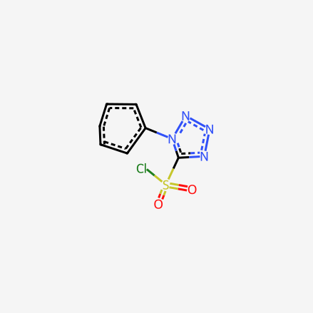 O=S(=O)(Cl)c1nnnn1-c1ccccc1